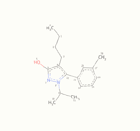 CCCCc1c(O)nn(C(C)C)c1-c1cccc(C)c1